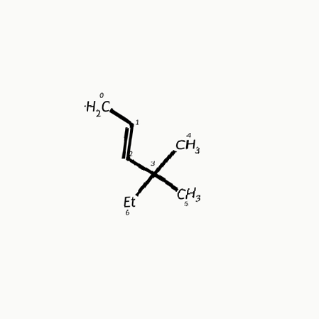 [CH2]/C=C/C(C)(C)CC